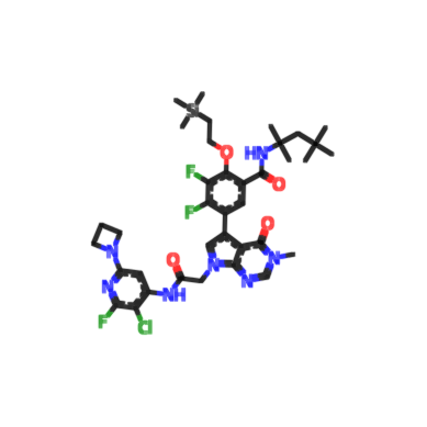 Cn1cnc2c(c(-c3cc(C(=O)NC(C)(C)CC(C)(C)C)c(OCC[Si](C)(C)C)c(F)c3F)cn2CC(=O)Nc2cc(N3CCC3)nc(F)c2Cl)c1=O